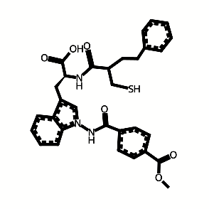 COC(=O)c1ccc(C(=O)Nn2cc(C[C@H](NC(=O)C(CS)CCc3ccccc3)C(=O)O)c3ccccc32)cc1